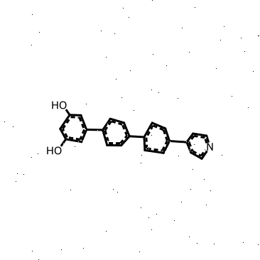 Oc1cc(O)cc(-c2ccc(-c3ccc(-c4ccncc4)cc3)cc2)c1